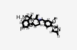 C=C1/C(=C/c2ccc(-n3cnc(C)c3)c(OC)c2)CCC(=O)N1C(C)(CN)c1ccc(F)cc1